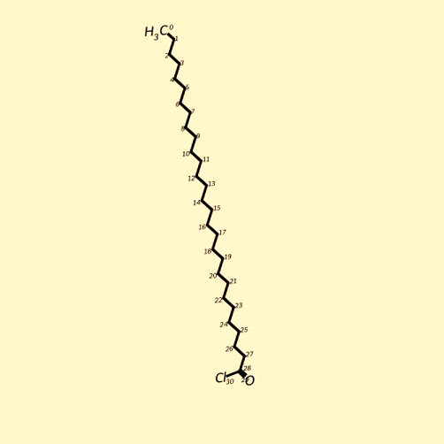 CCCCCCCCCCCCCCCCCCCCCCCCCCCCC(=O)Cl